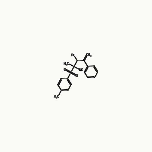 [C-]#[N+]C(C)(C(CC)C(=C)c1ccccc1)S(=O)(=O)c1ccc(C)cc1